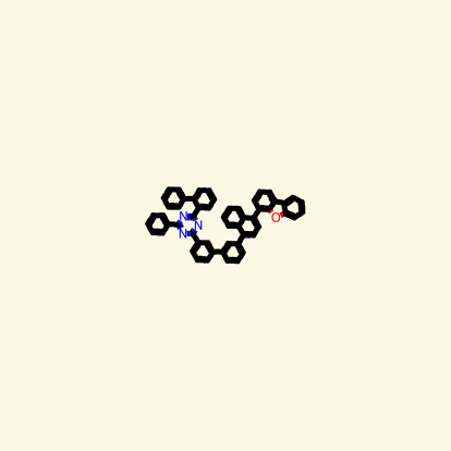 c1ccc(-c2nc(-c3cccc(-c4cccc(-c5ccc(-c6cccc7c6oc6ccccc67)c6ccccc56)c4)c3)nc(-c3ccccc3-c3ccccc3)n2)cc1